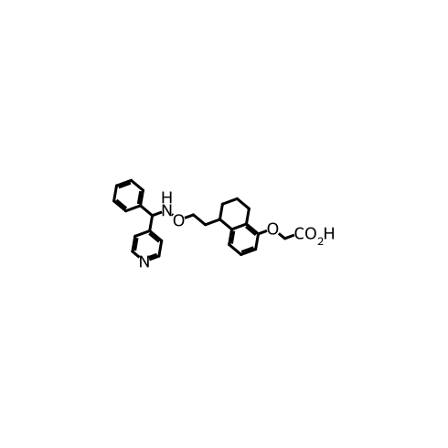 O=C(O)COc1cccc2c1CCCC2CCONC(c1ccccc1)c1ccncc1